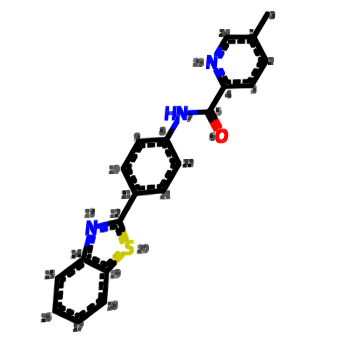 Cc1ccc(C(=O)Nc2ccc(-c3nc4ccccc4s3)cc2)nc1